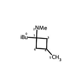 CCC(C)C1(NC)CC(C)C1